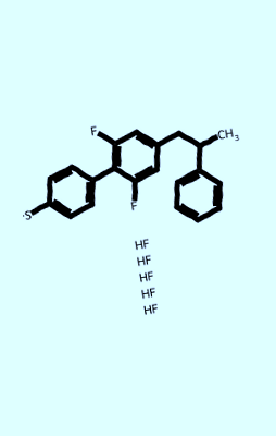 CC(Cc1cc(F)c(-c2ccc([S])cc2)c(F)c1)c1ccccc1.F.F.F.F.F